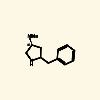 CN[C@H]1CNC(Cc2ccccc2)C1